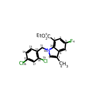 CCOC(=O)c1cc(F)cc2c(C)cn(Cc3ccc(Cl)cc3Cl)c12